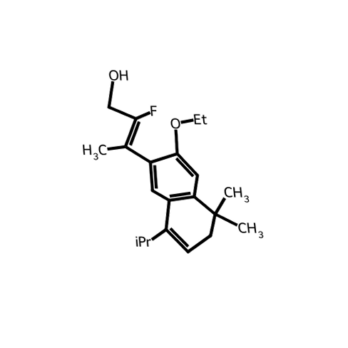 CCOc1cc2c(cc1C(C)=C(F)CO)C(C(C)C)=CCC2(C)C